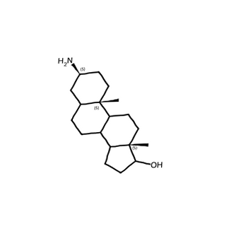 C[C@]12CC[C@H](N)CC1CCC1C2CC[C@]2(C)C(O)CCC12